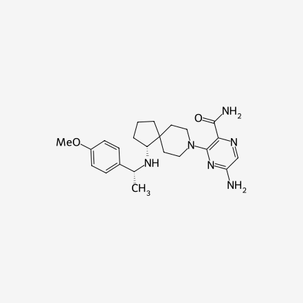 COc1ccc([C@@H](C)N[C@@H]2CCCC23CCN(c2nc(N)cnc2C(N)=O)CC3)cc1